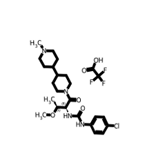 CO[C@@H](C)[C@@H](NC(=O)Nc1ccc(Cl)cc1)C(=O)N1CCC(C2CCN(C)CC2)CC1.O=C(O)C(F)(F)F